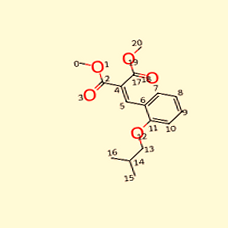 COC(=O)C(=Cc1ccccc1OCC(C)C)C(=O)OC